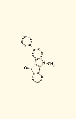 Cn1c2c(c3cc(-c4ccccc4)ccc31)C(=O)c1ccccc1-2